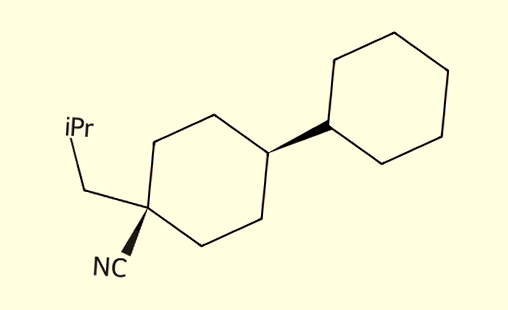 CC(C)C[C@]1(C#N)CC[C@@H](C2CCCCC2)CC1